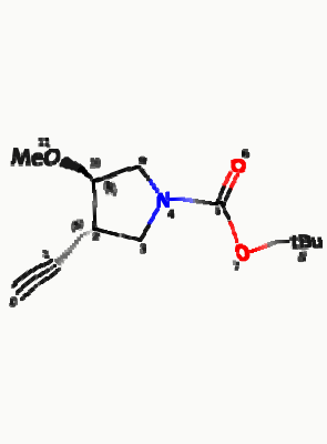 C#C[C@H]1CN(C(=O)OC(C)(C)C)C[C@@H]1OC